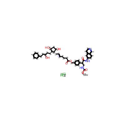 CC(C)(C)OC(=O)NCC(C(=O)Nc1ccc2cnccc2c1)c1ccc(COC(=O)CCC/C=C/C[C@@H]2[C@@H](CC[C@@H](O)CCc3ccccc3)[C@H](O)C[C@@H]2O)cc1.Cl.Cl